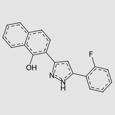 Oc1c(-c2cc(-c3ccccc3F)[nH]n2)ccc2ccccc12